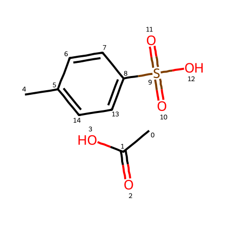 CC(=O)O.Cc1ccc(S(=O)(=O)O)cc1